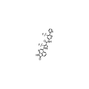 O=C(Nc1cnc(-n2cccn2)c(C(F)(F)F)c1)c1cnn(-c2cnc3c4c(cccc24)C(=O)N3)c1C(F)(F)F